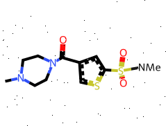 CNS(=O)(=O)c1cc(C(=O)N2CCN(C)CC2)cs1